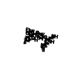 CCn1nc(C(=O)Nc2ccc(OC3=CC(c4cn(C)cn4)=CN/C3=C\C=N)cn2)c(=O)n(-c2ccc(F)cc2)c1=O